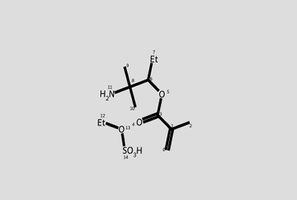 C=C(C)C(=O)OC(CC)C(C)(C)N.CCOS(=O)(=O)O